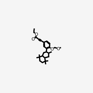 CCOC(=O)C#Cc1ccc(OCOC)c(C2CC3C(CC2C)C(C)(C)CCC3(C)C)c1